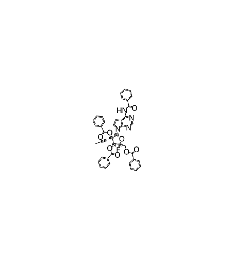 CC#C[C@]1(OC(=O)c2ccccc2)[C@H](n2ccc3c(NC(=O)c4ccccc4)ncnc32)O[C@](F)(COC(=O)c2ccccc2)[C@H]1OC(=O)c1ccccc1